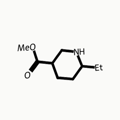 CCC1CCC(C(=O)OC)CN1